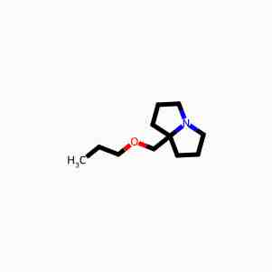 CCCOCC12CCCN1CCC2